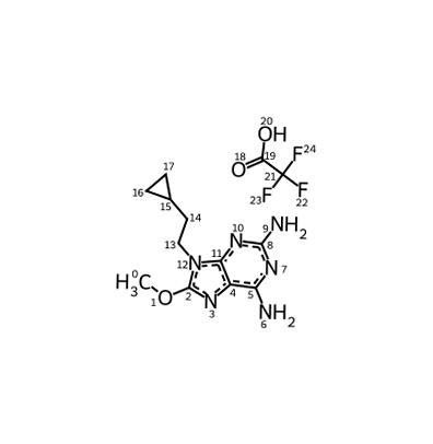 COc1nc2c(N)nc(N)nc2n1CCC1CC1.O=C(O)C(F)(F)F